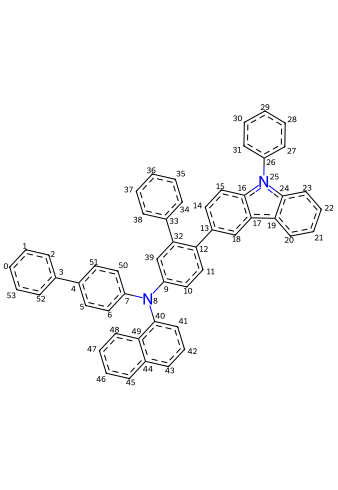 c1ccc(-c2ccc(N(c3ccc(-c4ccc5c(c4)c4ccccc4n5-c4ccccc4)c(-c4ccccc4)c3)c3cccc4ccccc34)cc2)cc1